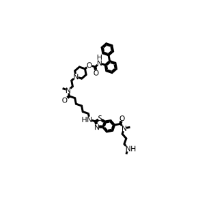 CNCCCN(C)C(=O)c1ccc2nc(NCCCCCC(=O)N(C)CCN3CCC(OC(=O)Nc4ccccc4-c4ccccc4)CC3)sc2c1